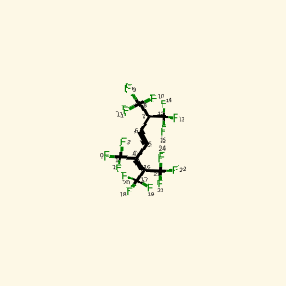 FC(F)(F)C(C=CC(C(F)(F)F)C(F)(F)F)=C(C(F)(F)F)C(F)(F)F